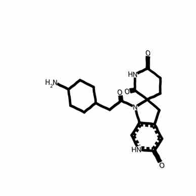 NC1CCC(CC(=O)N2c3c[nH]c(=O)cc3CC23CCC(=O)NC3=O)CC1